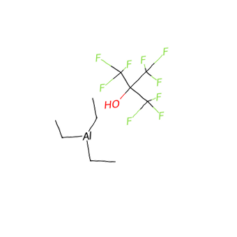 C[CH2][Al]([CH2]C)[CH2]C.OC(C(F)(F)F)(C(F)(F)F)C(F)(F)F